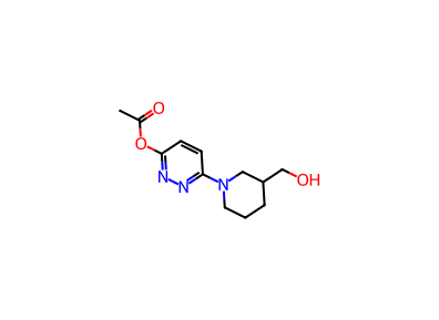 CC(=O)Oc1ccc(N2CCCC(CO)C2)nn1